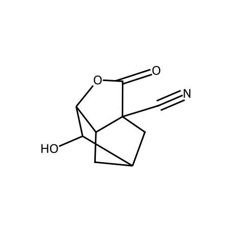 N#CC12CC3CC1C(OC2=O)C3O